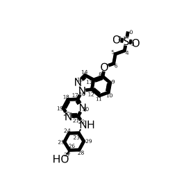 CS(=O)(=O)CCCOc1cccc2c1cnn2-c1ccnc(N[C@H]2CC[C@H](O)CC2)n1